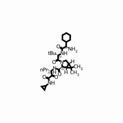 CCC[C@H](NC(=O)[C@@H]1[C@@H]2[C@H](CN1C(=O)[C@@H](NC(=O)[C@@H](N)C1CCCCC1)C(C)(C)C)C2(C)C)C(=O)C(=O)NC1CC1